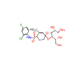 O=C(O)C1=CC2(CCC1S(=O)(=O)Nc1ccc(F)cc1Cl)O[C@H]([C@H](O)CO)[C@@H]([C@H](O)CO)O2